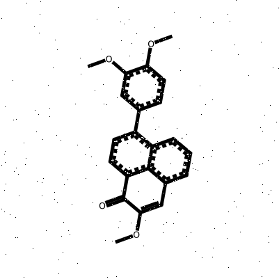 COC1=Cc2cccc3c(-c4ccc(OC)c(OC)c4)ccc(c23)C1=O